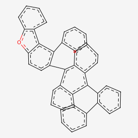 c1ccc(-c2ccccc2-c2c3ccccc3c(-c3ccc4oc5ccccc5c4c3-c3ccccc3)c3ccccc23)cc1